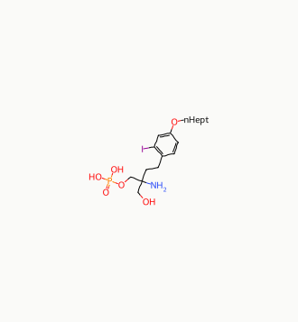 CCCCCCCOc1ccc(CCC(N)(CO)COP(=O)(O)O)c(I)c1